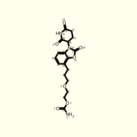 NC(=O)OCCOCCCc1cccc2c1oc(=O)n2C1CCC(=O)NC1=O